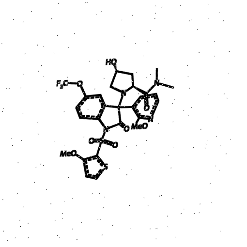 COc1ccsc1S(=O)(=O)N1C(=O)C(c2cccnc2OC)(N2C[C@H](O)C[C@H]2C(=O)N(C)C)c2cc(OC(F)(F)F)ccc21